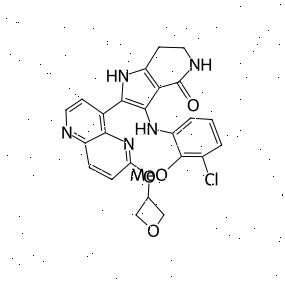 COc1c(Cl)cccc1Nc1c(-c2ccnc3ccc(OC4COC4)nc23)[nH]c2c1C(=O)NCC2